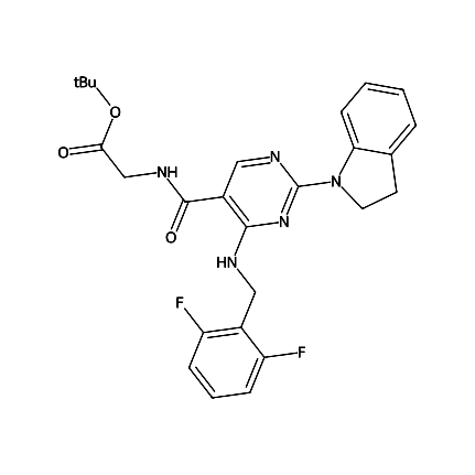 CC(C)(C)OC(=O)CNC(=O)c1cnc(N2CCc3ccccc32)nc1NCc1c(F)cccc1F